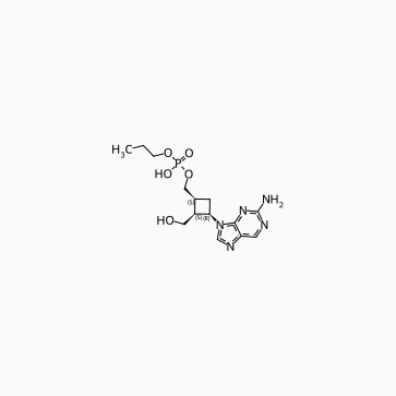 CCCOP(=O)(O)OC[C@H]1C[C@@H](n2cnc3cnc(N)nc32)[C@H]1CO